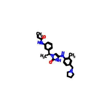 C=CC(=O)Nc1cccc([C@H](C)n2cc(Nc3ccc(CN4CCCC4)cc3C)[nH]c2=O)c1